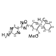 COCc1cc(-c2nc(-c3cnc(N)cn3)no2)ccc1-c1ccccc1C